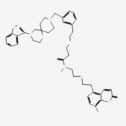 CN(CCNC[C@H](O)c1ccc(O)c2[nH]c(=O)ccc12)C(=O)CCOCCc1cccc(CN2CCC3(CC2)CN(c2nsc4ccccc24)CCO3)c1